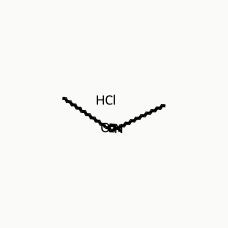 CCCCCCCCCCCCCCCCCCOc1ccc(N(C)CCCCCCCCCCCCCCCCCC)cc1.Cl